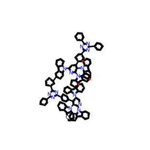 c1ccc(-c2nc(-c3ccccc3)nc(-c3ccc(-c4cc(-n5c6ccccc6c6cc(-c7cccc(-c8nc(-c9ccccc9)nc(-c9ccc(-c%10c(-n%11c%12ccccc%12c%12ccccc%12%11)cnc(-n%11c%12ccccc%12c%12ccccc%12%11)c%10-n%10c%11ccccc%11c%11ccccc%11%10)cc9)n8)c7)ccc65)nc(-n5c6ccccc6c6ccccc65)c4-n4c5ccccc5c5ccccc54)cc3)n2)cc1